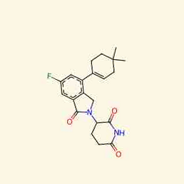 CC1(C)CC=C(c2cc(F)cc3c2CN(C2CCC(=O)NC2=O)C3=O)CC1